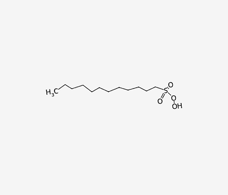 CCCCCCCCCCCCS(=O)(=O)OO